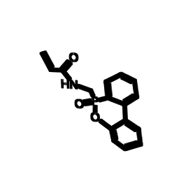 C=CC(=O)NCP1(=O)Oc2ccccc2-c2ccccc21